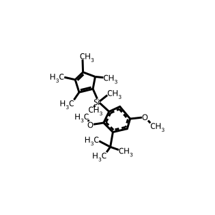 COc1cc(C(C)(C)C)c(OC)c([Si](C)(C)C2=C(C)C(C)=C(C)C2C)c1